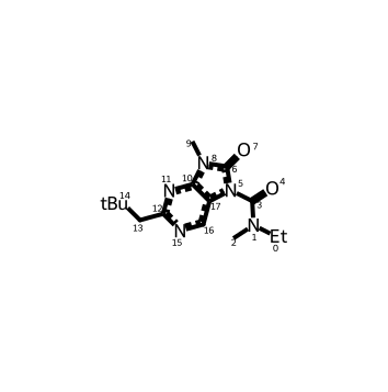 CCN(C)C(=O)n1c(=O)n(C)c2nc(CC(C)(C)C)ncc21